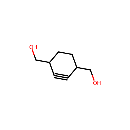 OCC1C#CC(CO)CC1